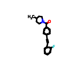 CC1CCN(C(=O)c2ccc(C#Cc3ccccc3F)cc2)CC1